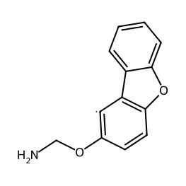 NCOc1[c]c2c(cc1)oc1ccccc12